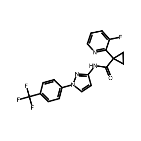 O=C(Nc1ccn(-c2ccc(C(F)(F)F)cc2)n1)C1(c2ncccc2F)CC1